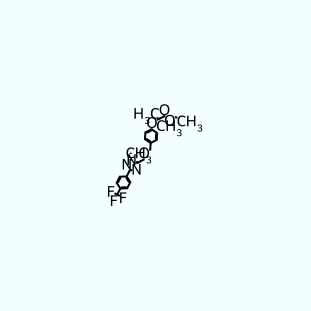 CCOC(=O)C(C)(C)Oc1ccc(COCc2nc(-c3ccc(C(F)(F)F)cc3)nn2C)cc1